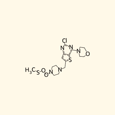 CSOON1CCN(Cc2cc3nc(Cl)nc(N4CCOCC4)c3s2)CC1